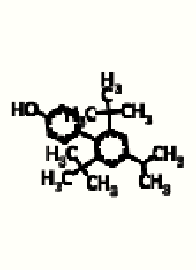 CC(C)c1cc(C(C)(C)C)c(-c2ccc(O)cc2)c(C(C)(C)C)c1